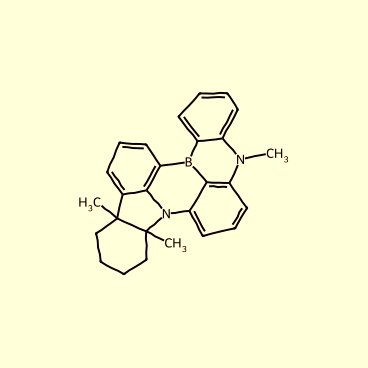 CN1c2ccccc2B2c3cccc4c3N(c3cccc1c32)C1(C)CCCCC41C